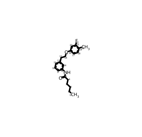 CCCCCC(=O)Nc1cccc(CCOc2ccc(C)c(F)c2)c1